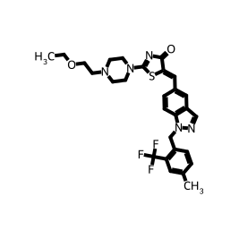 CCOCCN1CCN(C2=NC(=O)/C(=C/c3ccc4c(cnn4Cc4ccc(C)cc4C(F)(F)F)c3)S2)CC1